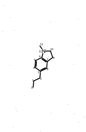 CCCc1ccc2c(c1)CCN2C